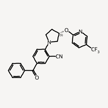 N#Cc1cc(C(=O)c2ccccc2)ccc1N1CC[C@H](Oc2ccc(C(F)(F)F)cn2)C1